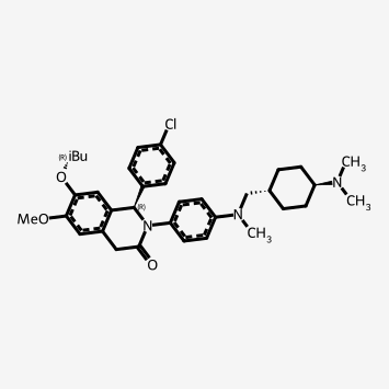 CC[C@@H](C)Oc1cc2c(cc1OC)CC(=O)N(c1ccc(N(C)C[C@H]3CC[C@H](N(C)C)CC3)cc1)[C@@H]2c1ccc(Cl)cc1